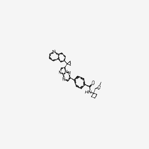 COCC1(NC(=O)c2ccc(-c3cnc4ncc(C5(c6ccc7ncccc7c6)CC5)n4n3)cc2)CCC1